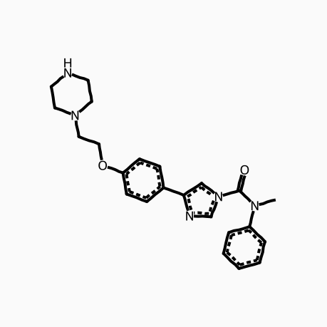 CN(C(=O)n1cnc(-c2ccc(OCCN3CCNCC3)cc2)c1)c1ccccc1